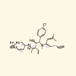 C=C/C(C(=N)C(c1ccc(Cl)cc1)N(C)/C(C=C(C)C)=C/CNC)=C(\C)NC(/C=C\C(C)CC)=C/N